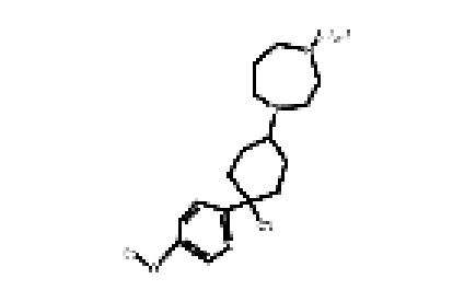 CCOC(=O)N1CCCN(C2CCC(C#N)(c3ccc(OCC)cn3)CC2)CC1